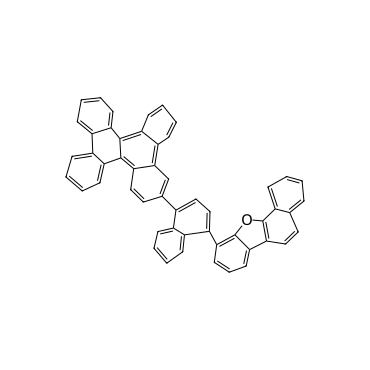 c1ccc2c(c1)ccc1c3cccc(-c4ccc(-c5ccc6c(c5)c5ccccc5c5c7ccccc7c7ccccc7c65)c5ccccc45)c3oc21